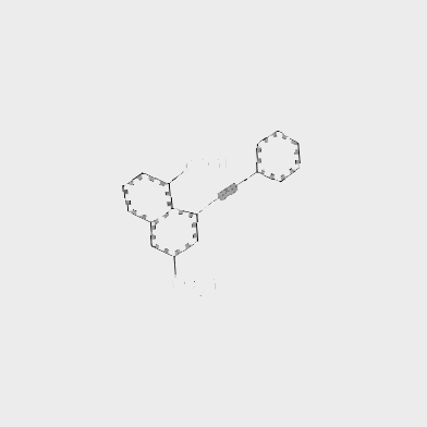 O=C(O)c1cc(C#Cc2ccccc2)c2c(C(=O)O)cccc2c1